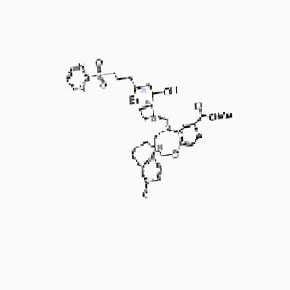 COC(=O)c1ccc2c(c1)N(C[C@H]1CC[C@H]1C(O)/C=C(\Br)CCCS(=O)(=O)c1ncccn1)C[C@@]1(CCCc3cc(Cl)ccc31)CO2